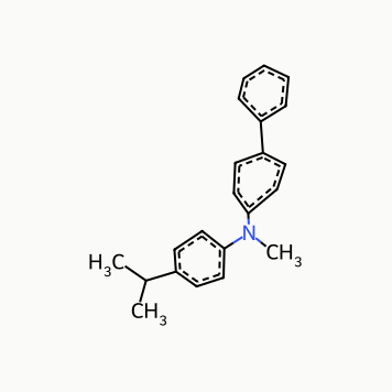 CC(C)c1ccc(N(C)c2ccc(-c3ccccc3)cc2)cc1